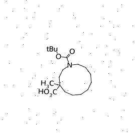 CC(C)(C)OC(=O)N1CCCCCCCCC(C)(C(=O)O)CC1